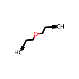 C#CCCOCCC#C